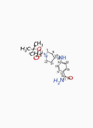 CC(C)(C)OC(=O)N1CCC(Nc2ccc(C(N)=O)cc2)CC1